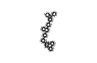 c1ccc(-n2c3ccccc3c3cc(-c4ccc(-c5ccc(-c6ccc(-c7cccc(-c8cnc9c%10ccccc%10c%10ccccc%10c9n8)c7)cc6)c6ccccc56)cc4)ccc32)cc1